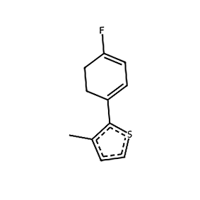 Cc1ccsc1C1=CC=C(F)CC1